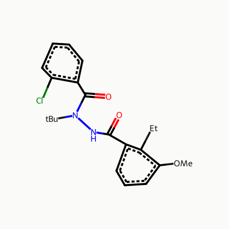 CCc1c(OC)cccc1C(=O)NN(C(=O)c1ccccc1Cl)C(C)(C)C